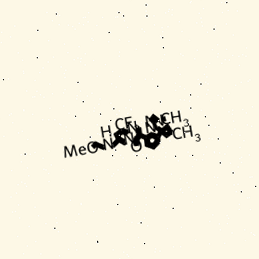 COCCNCc1cc(C(F)(F)F)c2ncc(-c3cccc(C4(c5nncn5C)CC(C)C4)c3)c(=O)n2c1